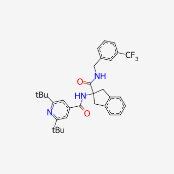 CC(C)(C)c1cc(C(=O)NC2(C(=O)NCc3cccc(C(F)(F)F)c3)Cc3ccccc3C2)cc(C(C)(C)C)n1